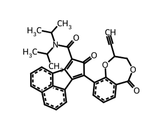 C#CC1COC(=O)c2cccc(C3=C4C(=C(C(=O)N(C(C)C)C(C)C)C3=O)c3cccc5cccc4c35)c2O1